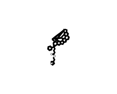 O=C(CCCC1(c2ccccc2)C2c3cc4c5c6c(cc7ccc8cc9c%10c%11c(cc(c%12c3c5c(c%12%11)c3c6c7c8c%103)C21)C9)C4)OCCc1ccsc1